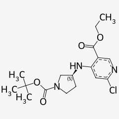 CCOC(=O)c1cnc(Cl)cc1N[C@H]1CCN(C(=O)OC(C)(C)C)C1